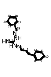 N=C(NN=CC=Cc1ccccc1)NN=Cc1ccccc1